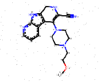 COCCN1CCN(C2=C(C#N)NCc3[nH]c4ncccc4c32)CC1